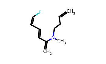 C=CCCN(C)C(=C)/C=C/C=C\F